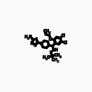 C=CCOc1cc(Cl)c(Cl)cc1C(NSC(C)(C)C)C1CCN(c2nnc(N)s2)CC1